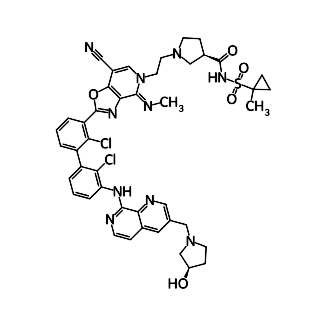 C/N=c1/c2nc(-c3cccc(-c4cccc(Nc5nccc6cc(CN7CC[C@@H](O)C7)cnc56)c4Cl)c3Cl)oc2c(C#N)cn1CCN1CC[C@@H](C(=O)NS(=O)(=O)C2(C)CC2)C1